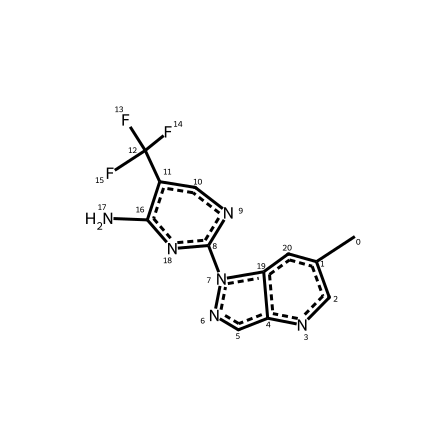 Cc1cnc2cnn(-c3ncc(C(F)(F)F)c(N)n3)c2c1